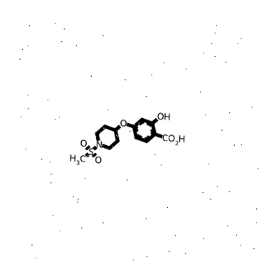 CS(=O)(=O)N1CCC(Oc2ccc(C(=O)O)c(O)c2)CC1